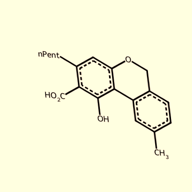 CCCCCc1cc2c(c(O)c1C(=O)O)-c1cc(C)ccc1CO2